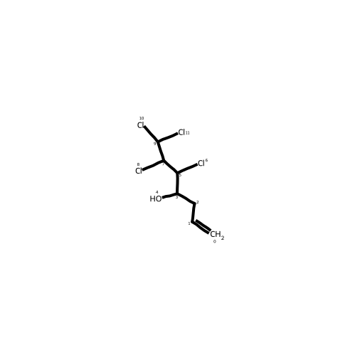 C=CCC(O)C(Cl)C(Cl)C(Cl)Cl